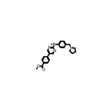 COC(=O)c1ccc(-c2cnc(Nc3ccc(CN4CCCC4)cc3)nc2)cc1